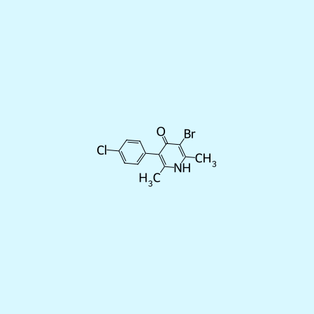 Cc1[nH]c(C)c(-c2ccc(Cl)cc2)c(=O)c1Br